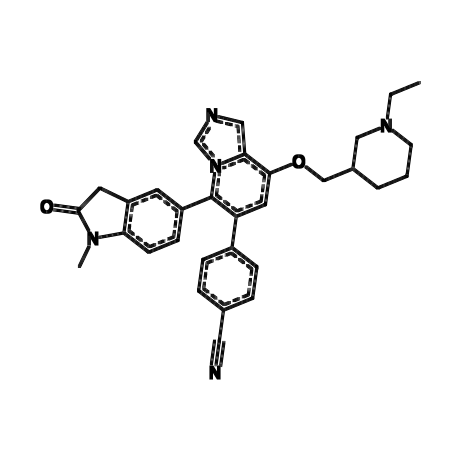 CCN1CCCC(COc2cc(-c3ccc(C#N)cc3)c(-c3ccc4c(c3)CC(=O)N4C)n3cncc23)C1